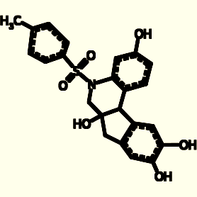 Cc1ccc(S(=O)(=O)N2CC3(O)Cc4cc(O)c(O)cc4C3c3ccc(O)cc32)cc1